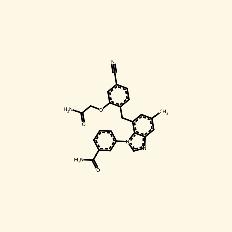 Cc1cc(Cc2ccc(C#N)cc2OCC(N)=O)c2c(c1)ncn2-c1cccc(C(N)=O)c1